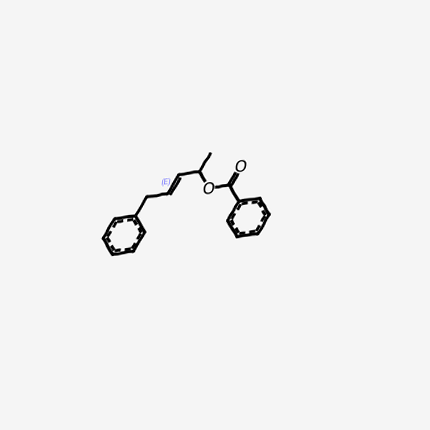 CC(/C=C/Cc1ccccc1)OC(=O)c1ccccc1